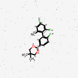 CC1(C)COB(c2ccc(F)c(-c3c(F)cc(F)cc3C#N)c2)OC1